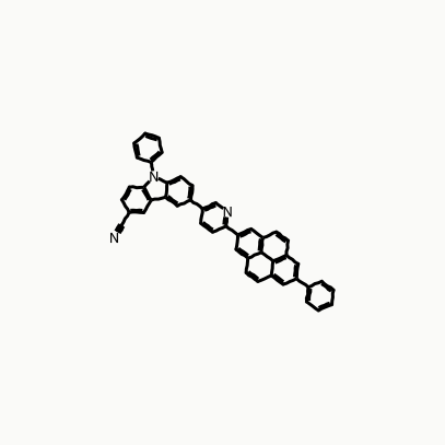 N#Cc1ccc2c(c1)c1cc(-c3ccc(-c4cc5ccc6cc(-c7ccccc7)cc7ccc(c4)c5c67)nc3)ccc1n2-c1ccccc1